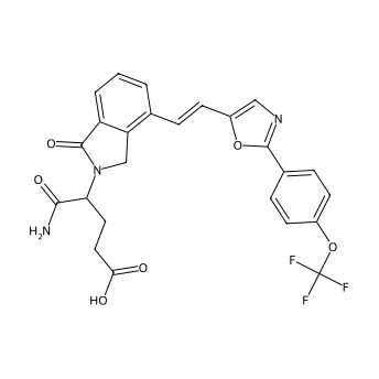 NC(=O)C(CCC(=O)O)N1Cc2c(C=Cc3cnc(-c4ccc(OC(F)(F)F)cc4)o3)cccc2C1=O